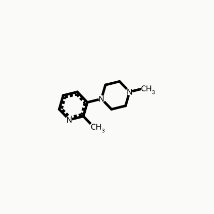 Cc1ncccc1N1CCN(C)CC1